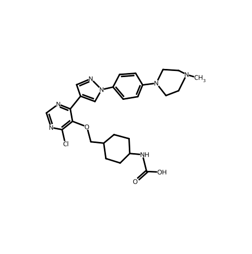 CN1CCN(c2ccc(-n3cc(-c4ncnc(Cl)c4OCC4CCC(NC(=O)O)CC4)cn3)cc2)CC1